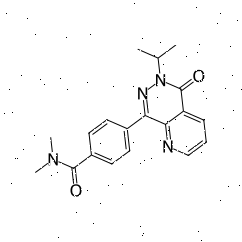 CC(C)n1nc(-c2ccc(C(=O)N(C)C)cc2)c2ncccc2c1=O